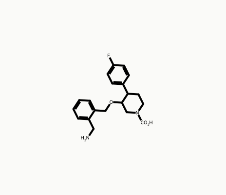 NCc1ccccc1COC1CN(C(=O)O)CCC1c1ccc(F)cc1